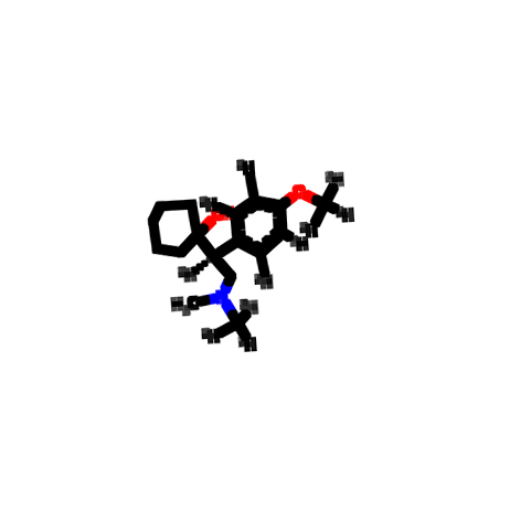 [2H]c1c([2H])c([C@@]([2H])(CN(C)C([2H])([2H])[2H])C2(O)CCCCC2)c([2H])c([2H])c1OC([2H])([2H])[2H]